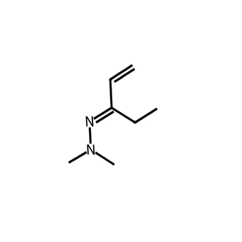 C=C/C(CC)=N/N(C)C